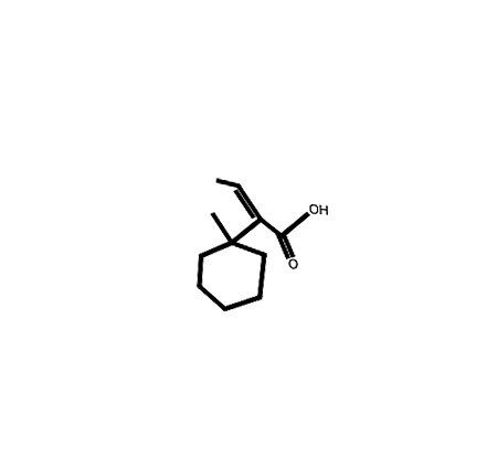 C/C=C(/C(=O)O)C1(C)CCCCC1